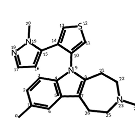 Cc1ccc2c(c1)c1c(n2-c2cscc2-c2ccnn2C)CCN(C)CC1